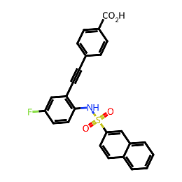 O=C(O)c1ccc(C#Cc2cc(F)ccc2NS(=O)(=O)c2ccc3ccccc3c2)cc1